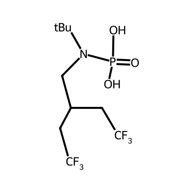 CC(C)(C)N(CC(CC(F)(F)F)CC(F)(F)F)P(=O)(O)O